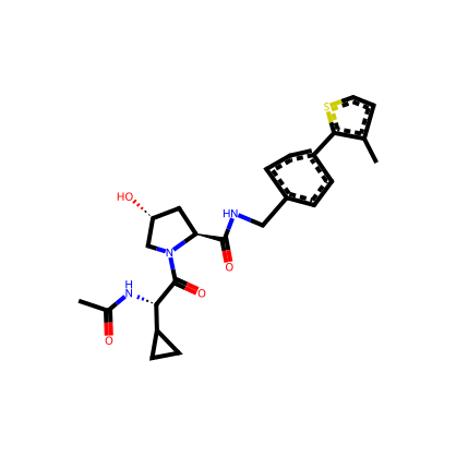 CC(=O)N[C@H](C(=O)N1C[C@H](O)C[C@H]1C(=O)NCc1ccc(-c2sccc2C)cc1)C1CC1